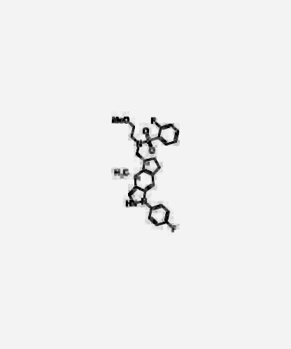 COCCN(C[C@H]1CCC2=C1[C@@H](C)C1=CNN(c3ccc(F)cc3)C1=C2)S(=O)(=O)c1ccccc1F